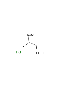 CNC(C)CC(=O)O.Cl